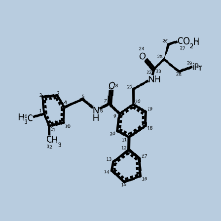 Cc1ccc(CNC(=O)c2cc(-c3ccccc3)ccc2CNC(=O)[C@@H](CC(=O)O)CC(C)C)cc1C